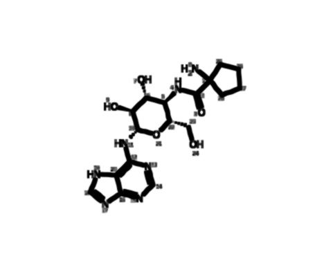 NC1(C(=O)N[C@@H]2[C@@H](O)[C@H](O)[C@@H](Nc3ncnc4nc[nH]c34)O[C@H]2CO)CCCC1